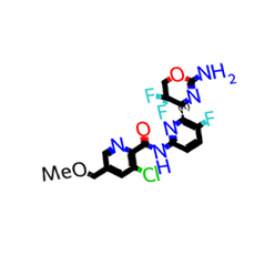 COCc1cnc(C(=O)Nc2ccc(F)c([C@H]3N=C(N)OCC3(F)F)n2)c(Cl)c1